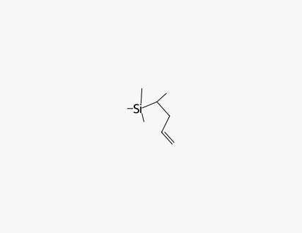 C=CCC(C)[Si](C)(C)C